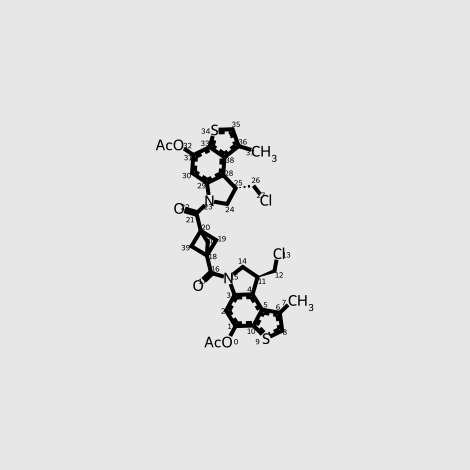 CC(=O)Oc1cc2c(c3c(C)csc13)[C@H](CCl)CN2C(=O)C12CC(C(=O)N3C[C@@H](CCl)c4c3cc(OC(C)=O)c3scc(C)c43)(C1)C2